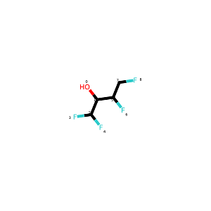 OC(C(F)F)C(F)CF